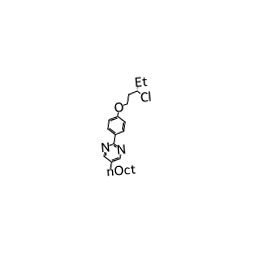 CCCCCCCCc1cnc(-c2ccc(OCC[C@@H](Cl)CC)cc2)nc1